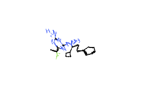 CC(F)c1nc(N)nc(NC(CCc2ccccc2)C2CCC2)n1